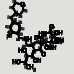 C\C(O)=C(O)/C(O)=C1/C(=O)N(C2(O)C(=O)NC(=O)C(O)(O)C2(O)O)C/C1=C\NCc1ccc(CN2CCOCC2)cc1F